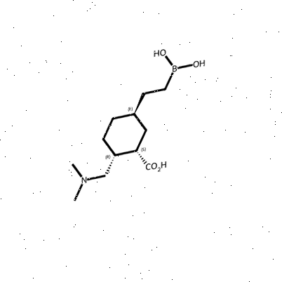 CN(C)C[C@@H]1CC[C@@H](CCB(O)O)C[C@@H]1C(=O)O